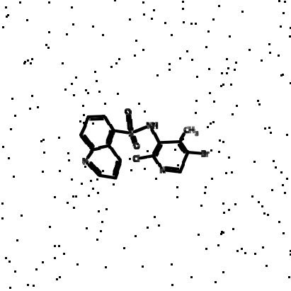 Cc1c(Br)cnc(Cl)c1NS(=O)(=O)c1cccc2ncccc12